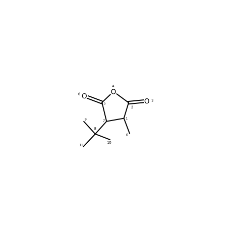 CC1C(=O)OC(=O)C1C(C)(C)C